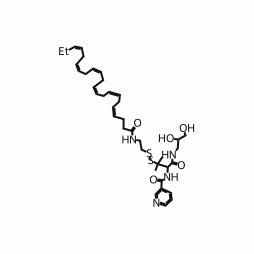 CC/C=C\C/C=C\C/C=C\C/C=C\C/C=C\C/C=C\CCC(=O)NCCSSC(C)(C)C(NC(=O)c1cccnc1)C(=O)NCC(O)CO